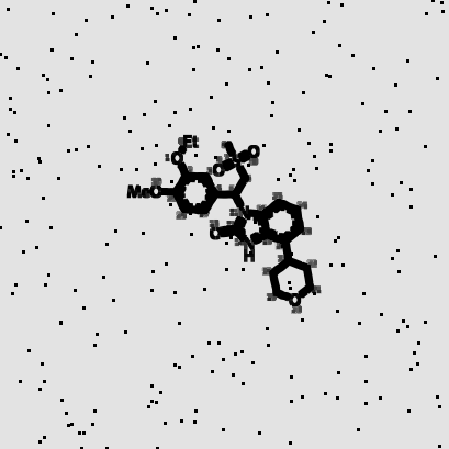 CCOc1cc(C(CS(C)(=O)=O)n2c(=O)[nH]c3c(C4CCOCC4)cccc32)ccc1OC